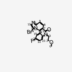 COCCN(C(=O)c1ccc2ncc(Br)n2c1)c1ccc(F)cc1